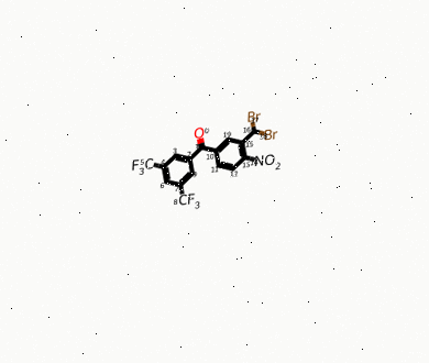 O=C(c1cc(C(F)(F)F)cc(C(F)(F)F)c1)c1ccc([N+](=O)[O-])c(C(Br)Br)c1